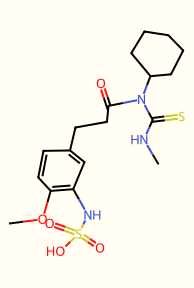 CNC(=S)N(C(=O)CCc1ccc(OC)c(NS(=O)(=O)O)c1)C1CCCCC1